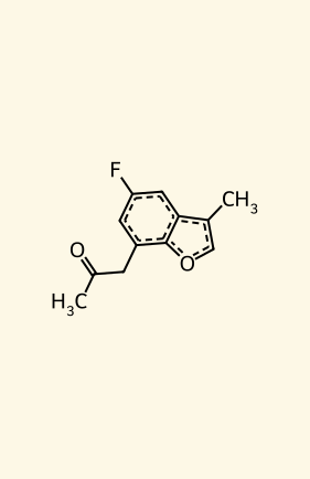 CC(=O)Cc1cc(F)cc2c(C)coc12